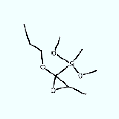 CCCOC1([Si](C)(OC)OC)OC1C